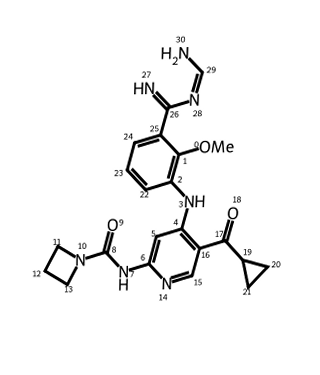 COc1c(Nc2cc(NC(=O)N3CCC3)ncc2C(=O)C2CC2)cccc1C(=N)/N=C\N